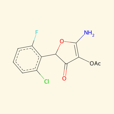 CC(=O)OC1=C(N)OC(c2c(F)cccc2Cl)C1=O